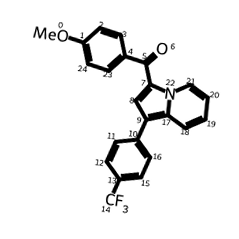 COc1ccc(C(=O)c2cc(-c3ccc(C(F)(F)F)cc3)c3ccccn23)cc1